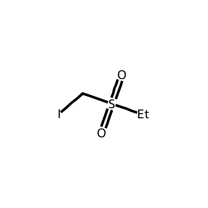 CCS(=O)(=O)CI